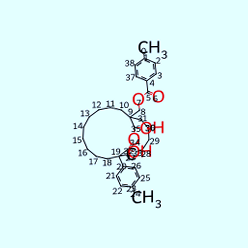 Cc1ccc(C(=O)OCC23CCCCCCCCCC(c4ccc(C)cc4)(CCCCC2)C(O)OC3O)cc1